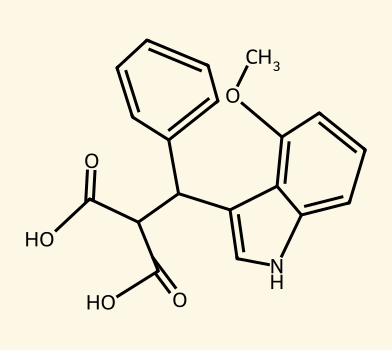 COc1cccc2[nH]cc(C(c3ccccc3)C(C(=O)O)C(=O)O)c12